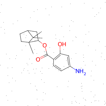 CC1(C)C2CCC1(C)C(OC(=O)c1ccc(N)cc1O)C2